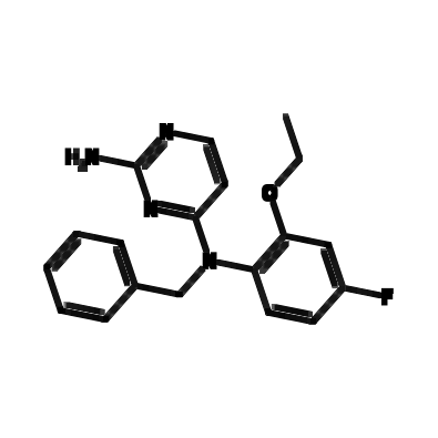 CCOc1cc(F)ccc1N(Cc1ccccc1)c1ccnc(N)n1